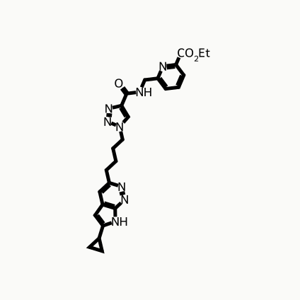 CCOC(=O)c1cccc(CNC(=O)c2cn(CCCCc3cc4cc(C5CC5)[nH]c4nn3)nn2)n1